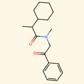 CC(C(=O)N(C)CC(=O)c1ccccc1)C1CCCCC1